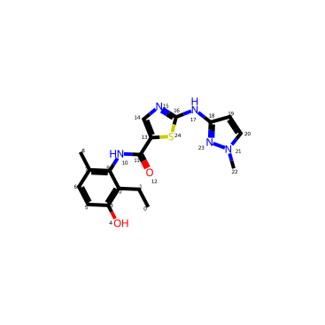 CCc1c(O)ccc(C)c1NC(=O)c1cnc(Nc2ccn(C)n2)s1